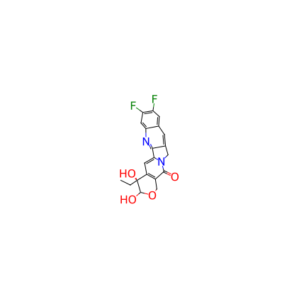 CC[C@]1(O)c2cc3n(c(=O)c2COC1O)Cc1cc2cc(F)c(F)cc2nc1-3